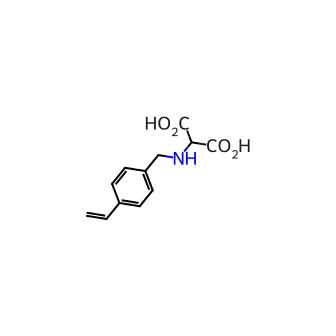 C=Cc1ccc(CNC(C(=O)O)C(=O)O)cc1